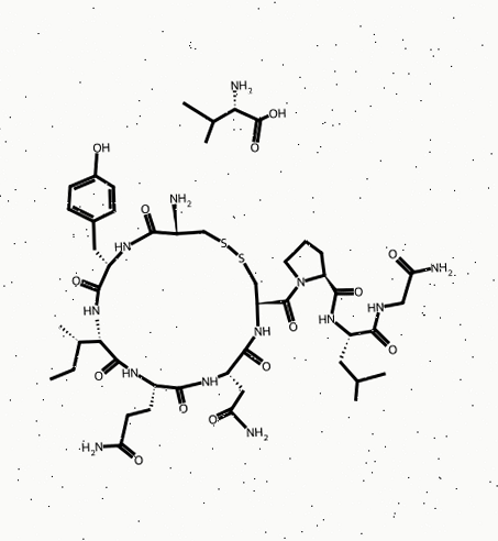 CC(C)[C@H](N)C(=O)O.CC[C@H](C)[C@@H]1NC(=O)[C@H](Cc2ccc(O)cc2)NC(=O)[C@@H](N)CSSC[C@@H](C(=O)N2CCC[C@H]2C(=O)N[C@@H](CC(C)C)C(=O)NCC(N)=O)NC(=O)[C@H](CC(N)=O)NC(=O)[C@H](CCC(N)=O)NC1=O